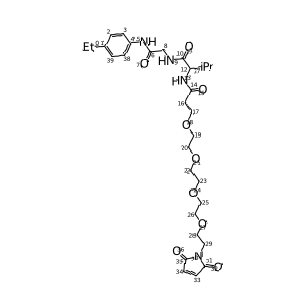 CCc1ccc(NC(=O)CNC(=O)C(NC(=O)CCOCCOCCOCCOCCN2C(=O)C=CC2=O)C(C)C)cc1